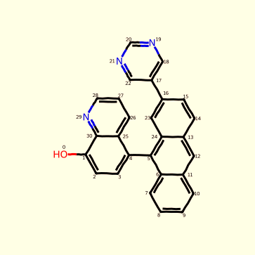 Oc1ccc(-c2c3ccccc3cc3ccc(-c4cncnc4)cc23)c2cccnc12